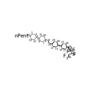 CCCCCC1CCC(C2CCC(C=Cc3ccc(-c4ccc(OC(F)(F)C(F)C(F)(F)F)cc4)cc3)CC2)CC1